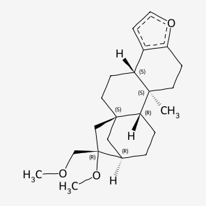 COC[C@@]1(OC)C[C@@]23CC[C@@H]4c5ccoc5CC[C@@]4(C)[C@@H]2CC[C@@H]1C3